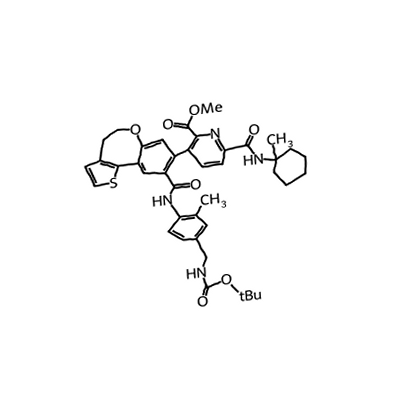 COC(=O)c1nc(C(=O)NC2(C)CCCCC2)ccc1-c1cc2c(cc1C(=O)Nc1ccc(CNC(=O)OC(C)(C)C)cc1C)-c1sccc1CCO2